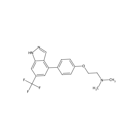 CN(C)CCOc1ccc(-c2cc(C(F)(F)F)cc3[nH]ncc23)cc1